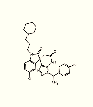 CC(c1ccc(Cl)cc1)n1nnc2c1NC(=O)C[C@]21C(=O)N(CCCN2CCCCC2)c2ccc(Cl)cc21